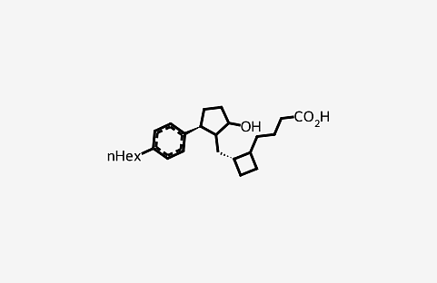 CCCCCCc1ccc([C@H]2CCC(O)C2C[C@H]2CCC2CCCC(=O)O)cc1